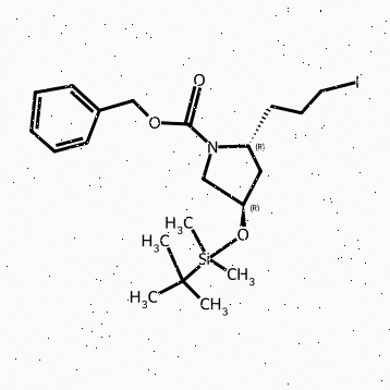 CC(C)(C)[Si](C)(C)O[C@@H]1C[C@@H](CCCI)N(C(=O)OCc2ccccc2)C1